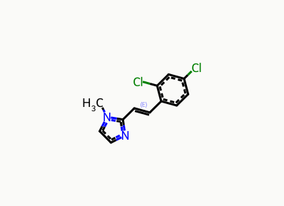 Cn1ccnc1/C=C/c1ccc(Cl)cc1Cl